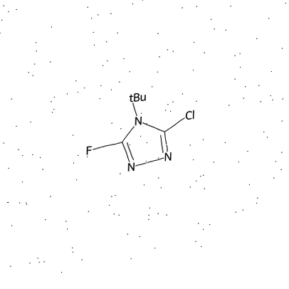 CC(C)(C)n1c(F)nnc1Cl